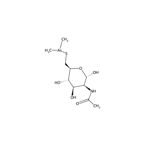 CC(=O)N[C@H]1[C@@H](O)[C@H](O)[C@@H](CS[As](C)C)O[C@@H]1O